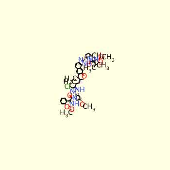 C=C1/C(=C\C(=C)c2[nH]c([C@@H]3C[C@H](COC)CN3C(=O)[C@H](NC(=O)OC)c3ccccc3)nc2Cl)COc2cc3c(ccc4nc([C@@H]5CC[C@H](C)N5C(=O)[C@@H](NC(=O)OC)C(C)C)[nH]c43)cc21